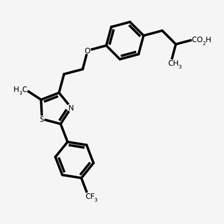 Cc1sc(-c2ccc(C(F)(F)F)cc2)nc1CCOc1ccc(CC(C)C(=O)O)cc1